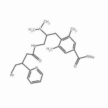 CNC(=O)c1cc(C)c(CC(CNC(=O)CC(CC(C)C)c2ccccn2)N(C)C)c(C)c1